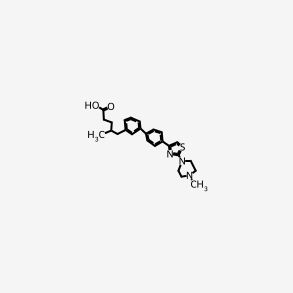 CC(CCC(=O)O)Cc1cccc(-c2ccc(-c3csc(N4CCN(C)CC4)n3)cc2)c1